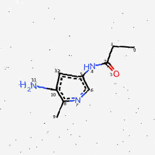 CCC(=O)Nc1cnc(C)c(N)c1